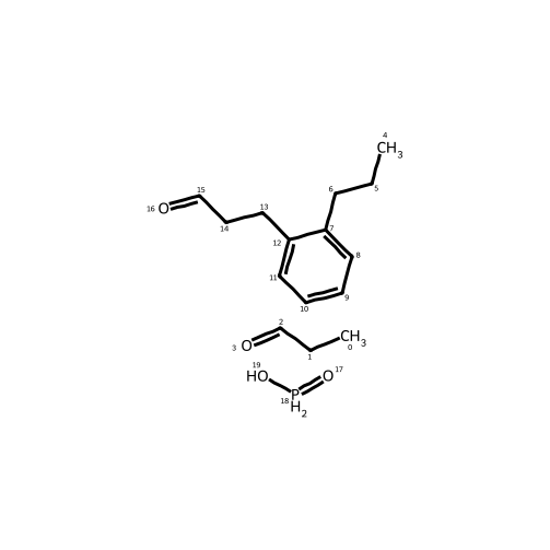 CCC=O.CCCc1ccccc1CCC=O.O=[PH2]O